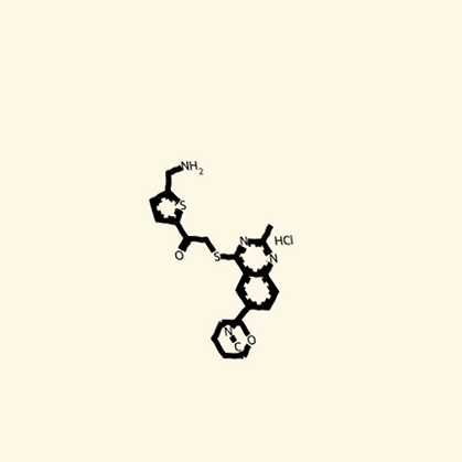 Cc1nc(SCC(=O)c2ccc(CN)s2)c2cc(N3CC4CCC3CO4)ccc2n1.Cl